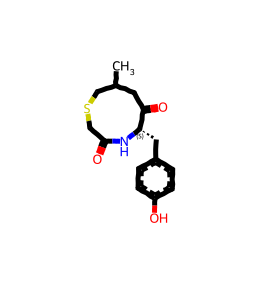 CC1CSCC(=O)N[C@@H](Cc2ccc(O)cc2)C(=O)C1